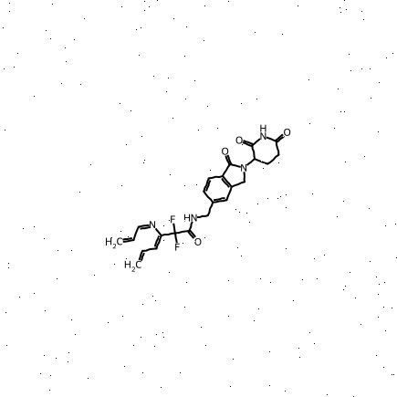 C=C/C=N\C(=C/C=C)C(F)(F)C(=O)NCc1ccc2c(c1)CN(C1CCC(=O)NC1=O)C2=O